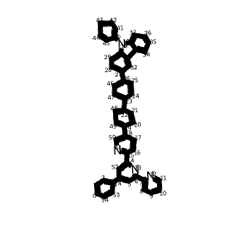 c1ccc(-c2cc(-c3ccccn3)nc(-c3ccc(-c4ccc(-c5ccc(-c6ccc7c(c6)c6ccccc6n7-c6ccccc6)cc5)cc4)cn3)c2)cc1